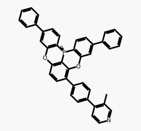 Cc1cnccc1-c1ccc(-c2ccc3c4c2Oc2cc(-c5ccccc5)ccc2P4(=S)c2ccc(-c4ccccc4)cc2O3)cc1